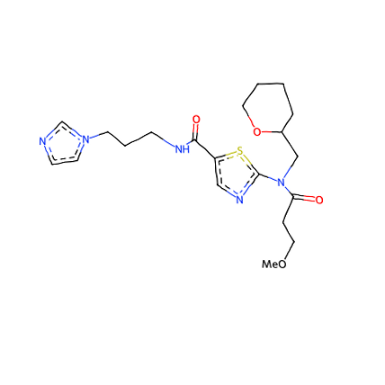 COCCC(=O)N(CC1CCCCO1)c1ncc(C(=O)NCCCn2ccnc2)s1